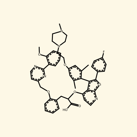 COc1ccccc1-c1nccc(COc2ccccc2CC(Oc2ccnc3sc(-c4ccc(F)cc4)c(-c4c(C)cc(OCCN5CCN(C)CC5)cc4C)c23)C(=O)O)n1